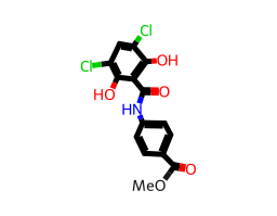 COC(=O)c1ccc(NC(=O)c2c(O)c(Cl)cc(Cl)c2O)cc1